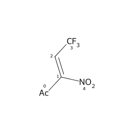 CC(=O)C(=CC(F)(F)F)[N+](=O)[O-]